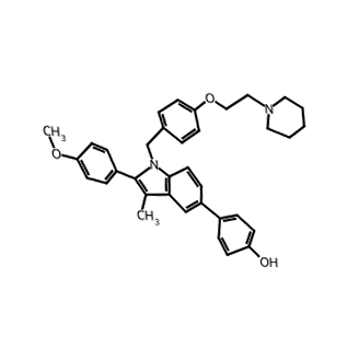 COc1ccc(-c2c(C)c3cc(-c4ccc(O)cc4)ccc3n2Cc2ccc(OCCN3CCCCC3)cc2)cc1